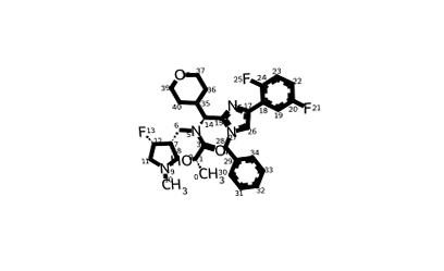 C[C@H](O)C(=O)N(C[C@@H]1CN(C)C[C@@H]1F)[C@@H](c1nc(-c2cc(F)ccc2F)cn1Cc1ccccc1)C1CCOCC1